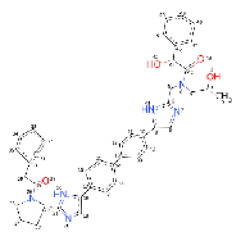 C[C@@H](O)CN(Cc1ncc(-c2ccc(-c3ccc(-c4cnc([C@@H]5CCCN5C(=O)Cc5ccccc5)[nH]4)cc3)cc2)[nH]1)C(=O)[C@H](O)c1ccccc1